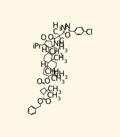 CC(C)C1=C2[C@H]3CC[C@@H]4[C@@]5(C)CC[C@H](OC(=O)[C@H]6C[C@@H](C(=O)OCc7ccccc7)C6(C)C)C(C)(C)[C@@H]5CC[C@@]4(C)[C@]3(C)CC[C@@]2(NC(=O)C(C)(C)c2nnc(-c3ccc(Cl)cc3)o2)CC1=O